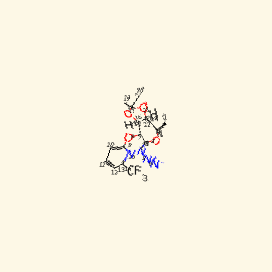 C[C@H]1O[C@@H](N=[N+]=[N-])C(Oc2cccc(C(F)(F)F)n2)[C@H]2OC(C)(C)O[C@H]21